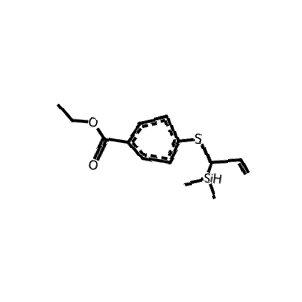 C=CC(Sc1ccc(C(=O)OCC)cc1)[SiH](C)C